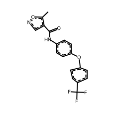 Cc1oncc1C(=O)Nc1ccc(Oc2ccc(C(F)(F)F)cc2)cc1